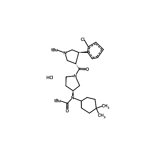 CC1(C)CCC(N(C(=O)C(C)(C)C)[C@H]2CCN(C(=O)[C@@H]3CN(C(C)(C)C)C[C@H]3c3ccccc3Cl)C2)CC1.Cl